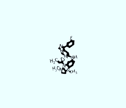 C=CC(=O)Nc1cc(Nc2cc3c(-c4cccc(F)c4)ncn3cn2)ccc1N(C)C1CCN(C)C1